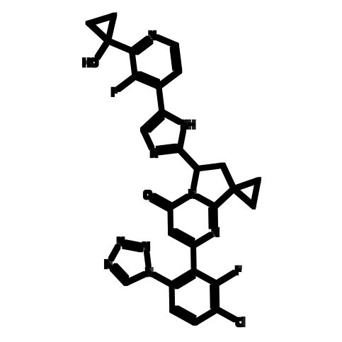 O=c1cc(-c2c(-n3cnnn3)ccc(Cl)c2F)nc2n1C(c1ncc(-c3ccnc(C4(O)CC4)c3F)[nH]1)CC21CC1